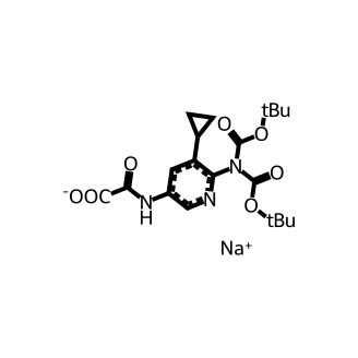 CC(C)(C)OC(=O)N(C(=O)OC(C)(C)C)c1ncc(NC(=O)C(=O)[O-])cc1C1CC1.[Na+]